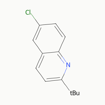 CC(C)(C)c1ccc2cc(Cl)ccc2n1